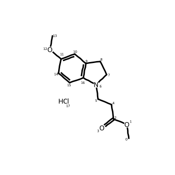 COC(=O)CCN1CCc2cc(OC)ccc21.Cl